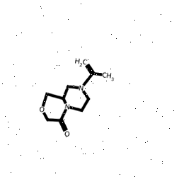 C=C(C)N1CCN2C(=O)COCC2C1